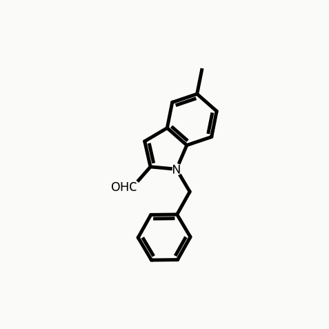 Cc1ccc2c(c1)cc(C=O)n2Cc1ccccc1